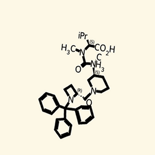 CC(C)[C@@H](C(=O)O)N(C)C(=O)N(C)[C@H]1CCCN(C(=O)[C@H]2CCN2C(c2ccccc2)(c2ccccc2)c2ccccc2)C1